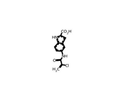 C=C(Cl)C(=O)Nc1ccc2[nH]c(C(=O)O)cc2c1